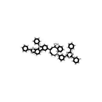 C=C1/C=C(c2ccc3c(c2)c2ccc4nc(-c5ccccc5)oc4c2n3-c2ccccc2)\C=C/CN(c2cccc(-c3nc(-c4ccccc4)nc(-c4ccccc4)n3)c2)c2ccccc21